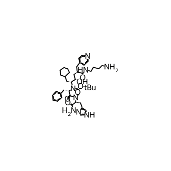 CN(C(=O)[C@H](Cc1ccccc1)N(C(=O)OC(C)(C)C)[C@@H](CC1CCCCC1)[C@@H](O)C[C@@H](Cc1ccncc1)C(=O)NCCCCN)[C@@H](Cc1c[nH]cn1)C(N)=O